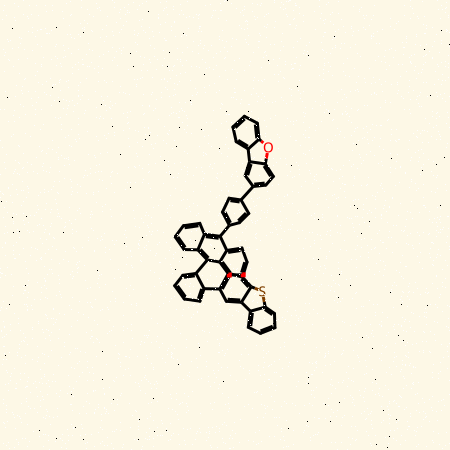 c1ccc(-c2c3ccccc3c(-c3ccc(-c4ccc5oc6ccccc6c5c4)cc3)c3ccccc23)c(-c2ccc3sc4ccccc4c3c2)c1